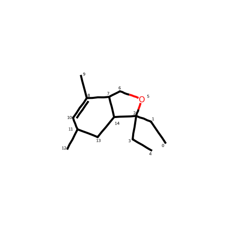 CCC1(CC)OCC2C(C)=CC(C)CC21